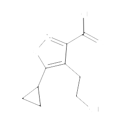 CCCc1c(C(=O)O)noc1C1CC1